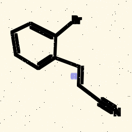 N#C/C=C/c1ccccc1Br